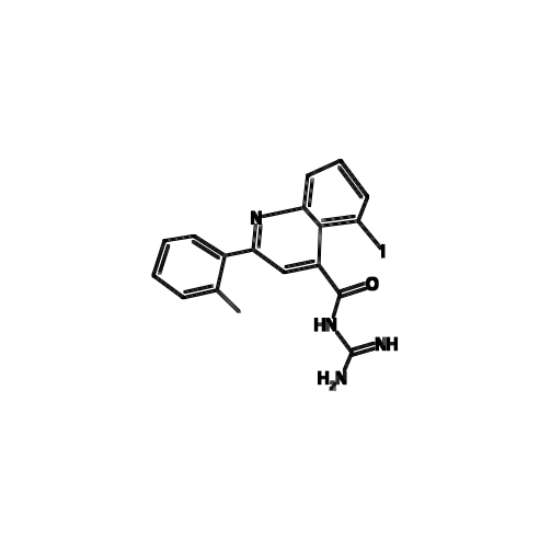 Cc1ccccc1-c1cc(C(=O)NC(=N)N)c2c(I)cccc2n1